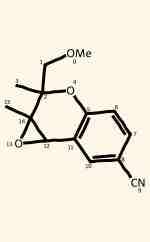 COCC1(C)Oc2ccc(C#N)cc2C2OC21C